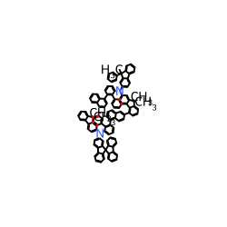 CC1(C)c2ccccc2-c2ccc(N(c3ccc4c(c3)C3(c5ccccc5-c5ccccc53)c3ccccc3-4)c3cccc(-c4cccc5cc(-c6cccc7c6-c6ccc(N(c8ccc9c(c8)C(C)(c8ccccc8)c8ccccc8-9)c8cccc(-c9cccc%10ccccc9%10)c8-c8ccccc8)cc6C7(C)C)ccc45)c3-c3ccccc3)cc21